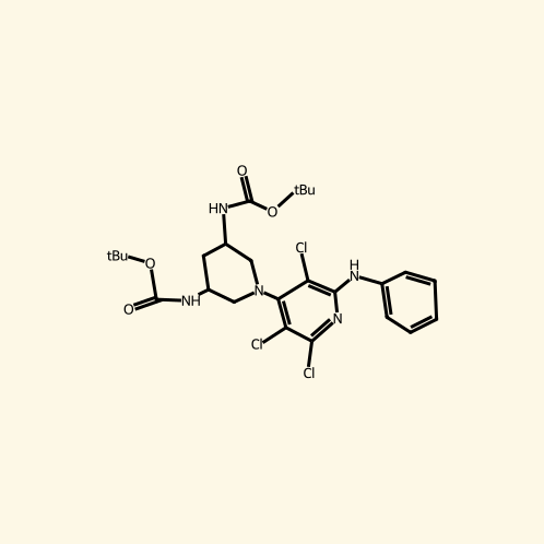 CC(C)(C)OC(=O)NC1CC(NC(=O)OC(C)(C)C)CN(c2c(Cl)c(Cl)nc(Nc3ccccc3)c2Cl)C1